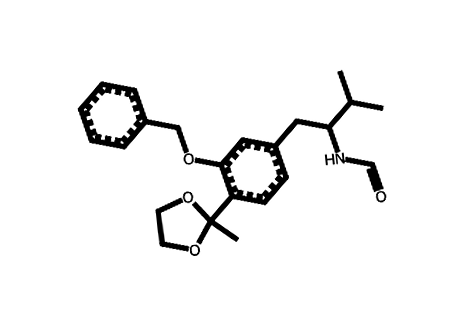 CC(C)C(Cc1ccc(C2(C)OCCO2)c(OCc2ccccc2)c1)NC=O